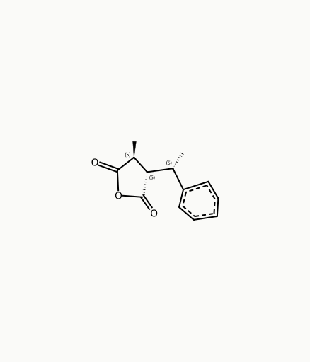 C[C@@H]1C(=O)OC(=O)[C@H]1[C@H](C)c1ccccc1